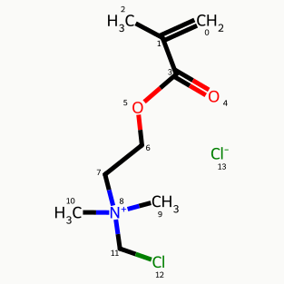 C=C(C)C(=O)OCC[N+](C)(C)CCl.[Cl-]